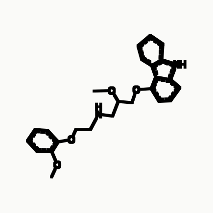 COc1ccccc1OCCNCC(COc1cccc2[nH]c3ccccc3c12)OC